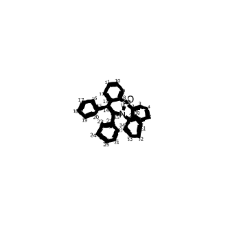 O=P1(c2ccccc2)c2ccccc2C(c2ccccc2)=C(c2ccccc2)N1c1ccccc1